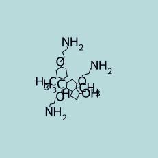 CC1C[C@H](OCCCN)CCC1(C)[C@H]1C[C@H](OCCCN)C2(C)C(O)CC[C@H]2C1COCCCN